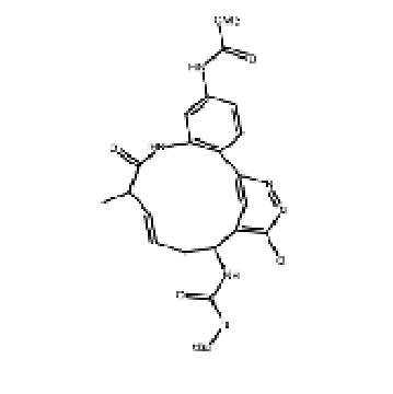 COC(=O)Nc1ccc2c(c1)NC(=O)C(C)/C=C/C[C@H](NC(=O)OC(C)(C)C)c1cc-2nnc1Cl